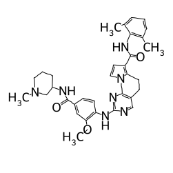 COc1cc(C(=O)NC2CCCN(C)C2)ccc1Nc1ncc2c(n1)-n1ccc(C(=O)Nc3c(C)cccc3C)c1CC2